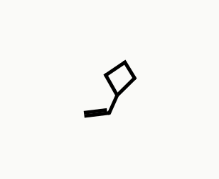 C=CC1CCC1